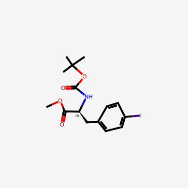 COC(=O)[C@H](Cc1ccc(I)cc1)NC(=O)OC(C)(C)C